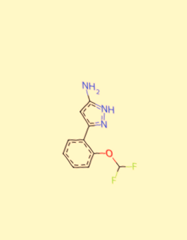 Nc1cc(-c2ccccc2OC(F)F)n[nH]1